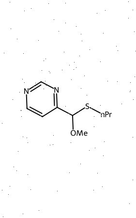 CCCSC(OC)c1ccncn1